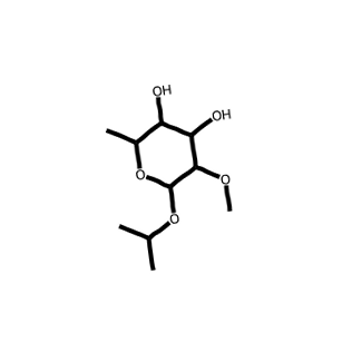 COC1C(OC(C)C)OC(C)C(O)C1O